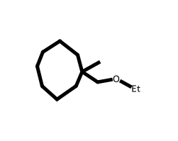 CCOCC1(C)CCCCCCC1